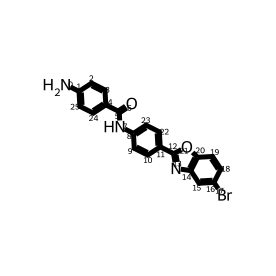 Nc1ccc(C(=O)Nc2ccc(-c3nc4cc(Br)ccc4o3)cc2)cc1